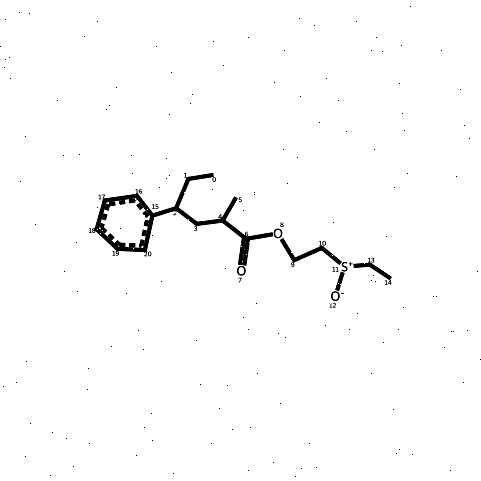 CCC(CC(C)C(=O)OCC[S+]([O-])CC)c1ccccc1